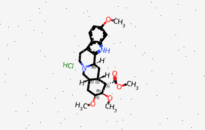 COC(=O)[C@H]1[C@H]2C[C@@H]3c4[nH]c5cc(OC)ccc5c4CCN3C[C@H]2C[C@H](OC)[C@@H]1OC.Cl